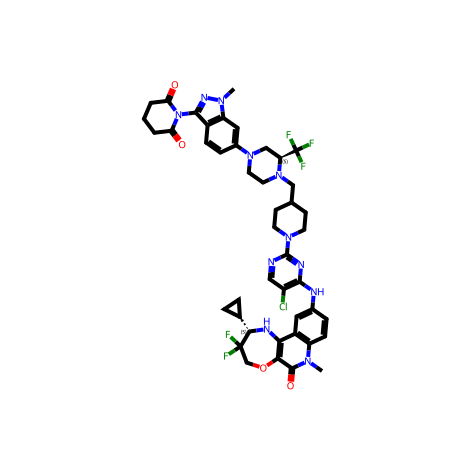 Cn1nc(N2C(=O)CCCC2=O)c2ccc(N3CCN(CC4CCN(c5ncc(Cl)c(Nc6ccc7c(c6)c6c(c(=O)n7C)OCC(F)(F)[C@H](C7CC7)N6)n5)CC4)[C@H](C(F)(F)F)C3)cc21